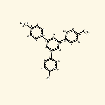 Cc1ccc(-c2cc(-c3ccc(F)cc3)cc(-c3ccc(C)cc3)n2)cc1